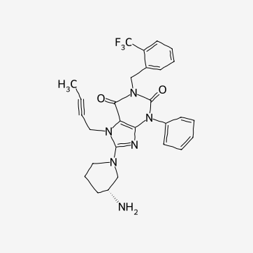 CC#CCn1c(N2CCC[C@@H](N)C2)nc2c1c(=O)n(Cc1ccccc1C(F)(F)F)c(=O)n2-c1ccccc1